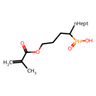 C=C(C)C(=O)OCCCC(CCCCCCC)[PH](=O)O